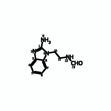 Nc1nc2ccccc2n1CCNC=O